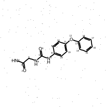 [NH]C(=O)CNC(=O)Nc1ccc(Oc2ccccc2)cc1